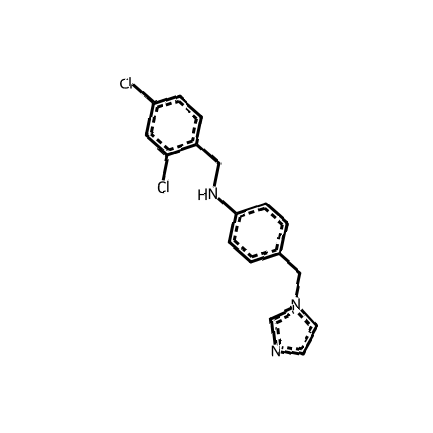 Clc1ccc(CNc2ccc(Cn3ccnc3)cc2)c(Cl)c1